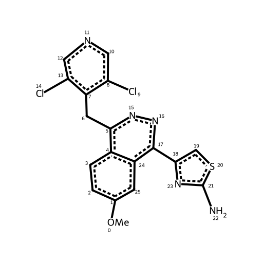 COc1ccc2c(Cc3c(Cl)cncc3Cl)nnc(-c3csc(N)n3)c2c1